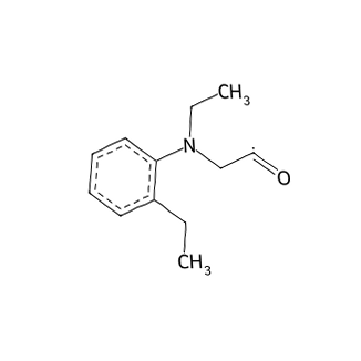 CCc1ccccc1N(CC)C[C]=O